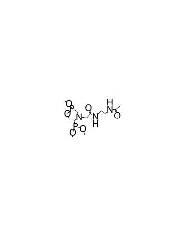 COP(CN(CC(=O)NCCNC(C)=O)CP(OC)OC)OC